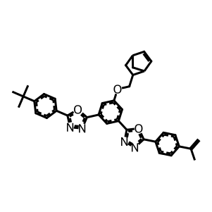 C=C(C)c1ccc(-c2nnc(-c3cc(OCC4CC5C=CC4C5)cc(-c4nnc(-c5ccc(C(C)(C)C)cc5)o4)c3)o2)cc1